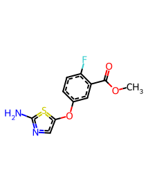 COC(=O)c1cc(Oc2cnc(N)s2)ccc1F